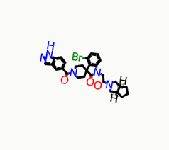 O=C(CN1C(=O)C2(CCN(C(=O)c3ccc4[nH]ncc4c3)CC2)c2c(Br)cccc21)N1C[C@H]2CCC[C@H]2C1